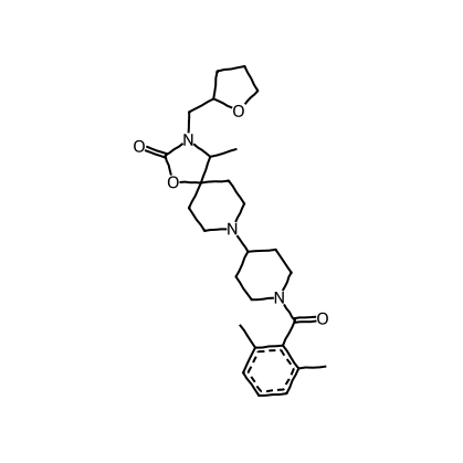 Cc1cccc(C)c1C(=O)N1CCC(N2CCC3(CC2)OC(=O)N(CC2CCCO2)C3C)CC1